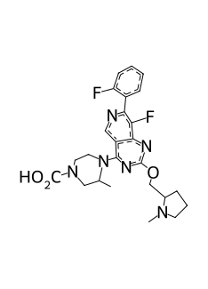 CC1CN(C(=O)O)CCN1c1nc(OCC2CCCN2C)nc2c(F)c(-c3ccccc3F)ncc12